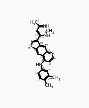 CN/C(=C\C(C)=N)c1csc2cc3c(Nc4ccc(C)c(C)c4)ccnc3cc12